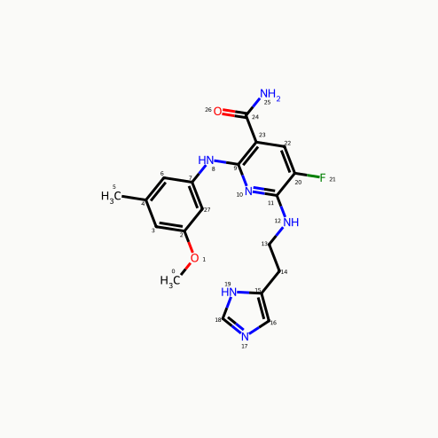 COc1cc(C)cc(Nc2nc(NCCc3cnc[nH]3)c(F)cc2C(N)=O)c1